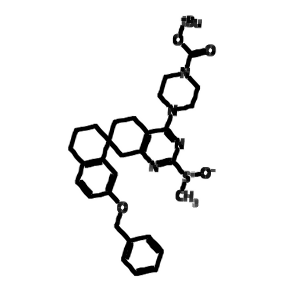 C[S+]([O-])c1nc2c(c(N3CCN(C(=O)OC(C)(C)C)CC3)n1)CCC1(CCCc3ccc(OCc4ccccc4)cc31)C2